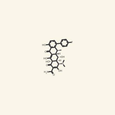 C[C@@H]1c2c(-c3ccc(F)cc3)ccc(O)c2C(=O)C2=C(O)[C@]3(O)C(=O)C(C(N)=O)=C(O)[C@H](N(C)C)[C@@H]3[C@@H](O)[C@H]21